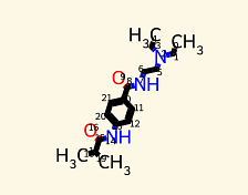 CCN(CC)CCNC(=O)c1ccc(NC(=O)C(C)C)cc1